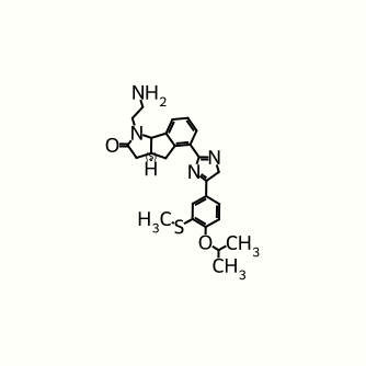 CSc1cc(C2=NC(c3cccc4c3C[C@H]3CC(=O)N(CCN)C43)=NC2)ccc1OC(C)C